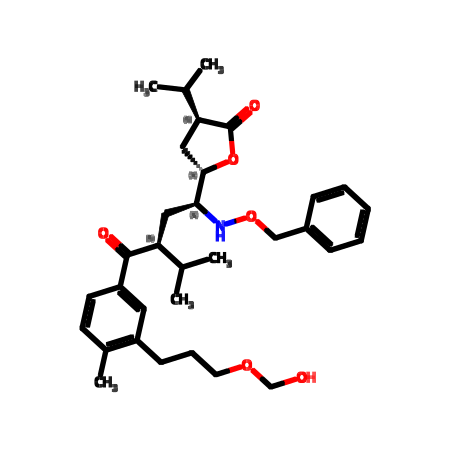 Cc1ccc(C(=O)[C@@H](C[C@H](NOCc2ccccc2)[C@@H]2C[C@@H](C(C)C)C(=O)O2)C(C)C)cc1CCCOCO